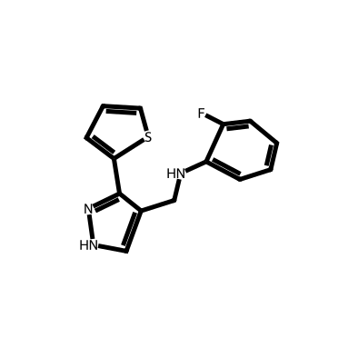 Fc1ccccc1NCc1c[nH]nc1-c1cccs1